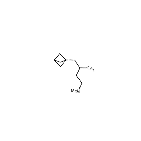 CNCCC(C)CC12CC(C1)C2